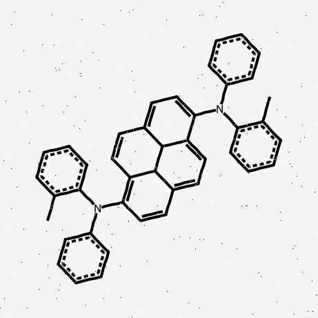 Cc1ccccc1N(C1=CC=C2C=CC3=C(N(c4ccccc4)c4ccccc4C)C=CC4=CC=C1C2C43)c1ccccc1